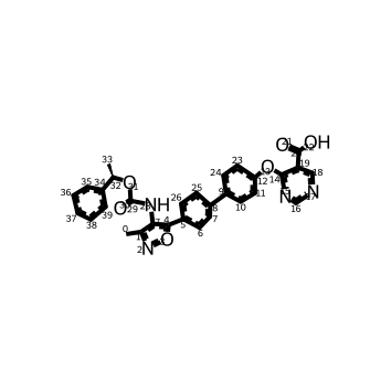 Cc1noc(-c2ccc(-c3ccc(Oc4ncncc4C(=O)O)cc3)cc2)c1NC(=O)O[C@H](C)c1ccccc1